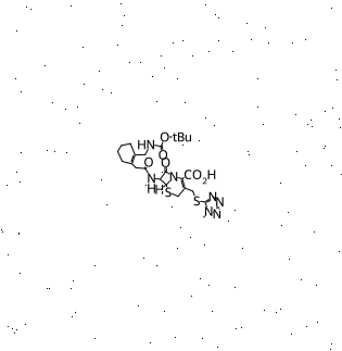 Cn1nnnc1SCC1=C(C(=O)O)N2C(=O)C(NC(=O)CC3=C(CNC(=O)OC(C)(C)C)CCCC3)[C@H]2SC1